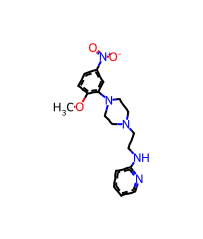 COc1ccc([N+](=O)[O-])cc1N1CCN(CCNc2ccccn2)CC1